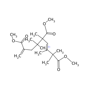 C=C(CC(C)(C)C(C)(/C=C(\C)C(C)(C)C(=O)OC)C(=O)OC)C(=O)OC